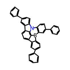 c1ccc(-c2ccc3c(c2)B2c4ccc(-c5ccccc5)cc4-c4ccc5c6cc(-c7ccccc7)ccc6n-3c5c42)cc1